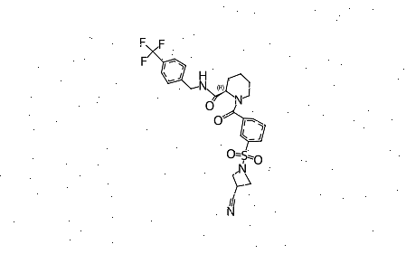 N#CC1CN(S(=O)(=O)c2cccc(C(=O)N3CCCC[C@@H]3C(=O)NCc3ccc(C(F)(F)F)cc3)c2)C1